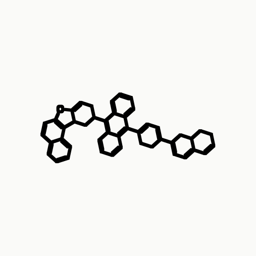 C1=CC2=CC=C(C3=CC=C(c4c5ccccc5c(C5CC=C6Oc7ccc8ccccc8c7C6C5)c5ccccc45)CC3)CC2CC1